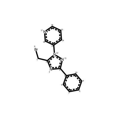 BrCc1nc(-c2ccccc2)nn1-c1cccnc1